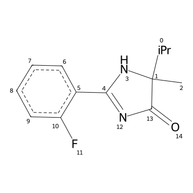 CC(C)C1(C)NC(c2ccccc2F)=NC1=O